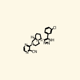 N#Cc1nccnc1N1CCN2[C@@H](CCC[C@@H]2c2nn[nH]c2-c2cccc(Cl)c2)C1